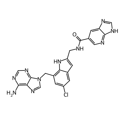 Nc1ncnc2c1ncn2Cc1cc(Cl)cc2cc(CNC(=O)c3cnc4[nH]cnc4c3)[nH]c12